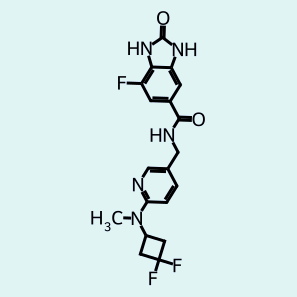 CN(c1ccc(CNC(=O)c2cc(F)c3[nH]c(=O)[nH]c3c2)cn1)C1CC(F)(F)C1